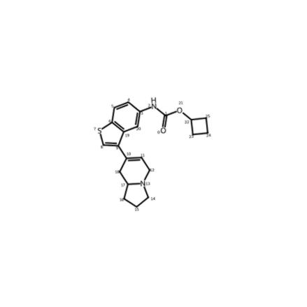 O=C(Nc1ccc2scc(C3=CCN4CCCC4C3)c2c1)OC1CCC1